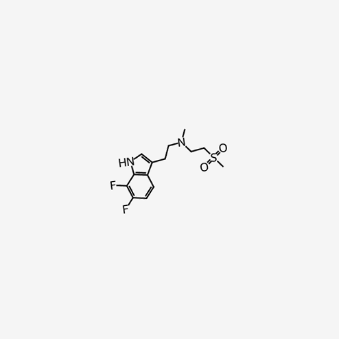 CN(CCc1c[nH]c2c(F)c(F)ccc12)CCS(C)(=O)=O